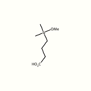 CO[Si](C)(C)CCCC(=O)O